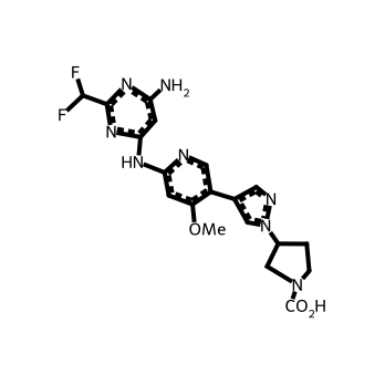 COc1cc(Nc2cc(N)nc(C(F)F)n2)ncc1-c1cnn(C2CCN(C(=O)O)C2)c1